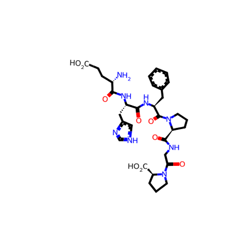 N[C@@H](CCC(=O)O)C(=O)N[C@@H](Cc1c[nH]cn1)C(=O)N[C@@H](Cc1ccccc1)C(=O)N1CCC[C@H]1C(=O)NCC(=O)N1CCC[C@H]1C(=O)O